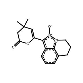 CC1(C)C=C(c2c3cccc4c3n([n+]2[O-])CCC4)OC(=O)C1